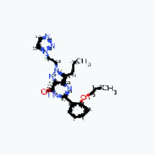 CCCOc1ccccc1-c1nc2c(CCC)n(CCn3ccnn3)nc2c(=O)[nH]1